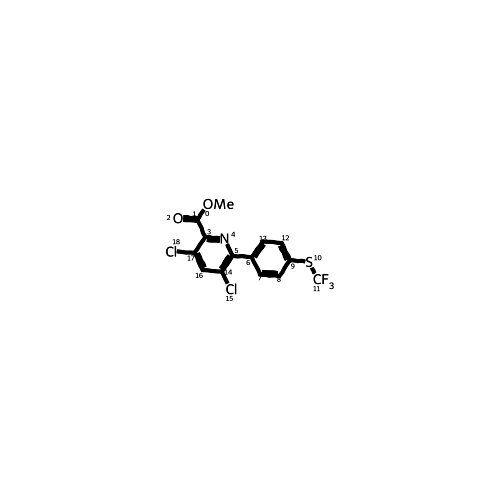 COC(=O)c1nc(-c2ccc(SC(F)(F)F)cc2)c(Cl)cc1Cl